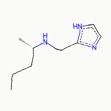 CCC[C@H](C)NCc1ncc[nH]1